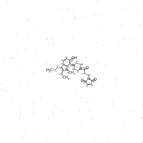 CCCc1c(SC)n(C)c2c(N3CCN(C(=O)CCN4C(=O)C=CC4=O)CC3)c(O)ccc12